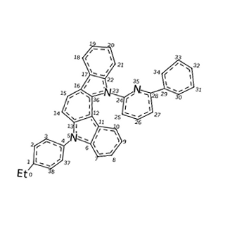 CCc1ccc(-n2c3ccccc3c3c2ccc2c4ccccc4n(-c4cccc(-c5ccccc5)n4)c23)cc1